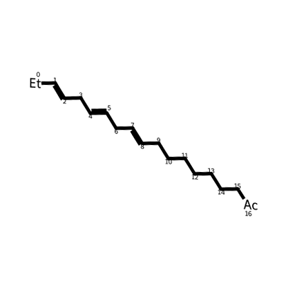 CC/C=C/C/C=C/C/C=C/CCCCCCCC(C)=O